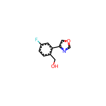 OCc1ccc(F)cc1-c1cocn1